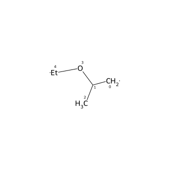 [CH2]C(C)O[CH]C